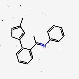 CC1=CCC(c2ccccc2/C(C)=N/c2ccccc2)=C1